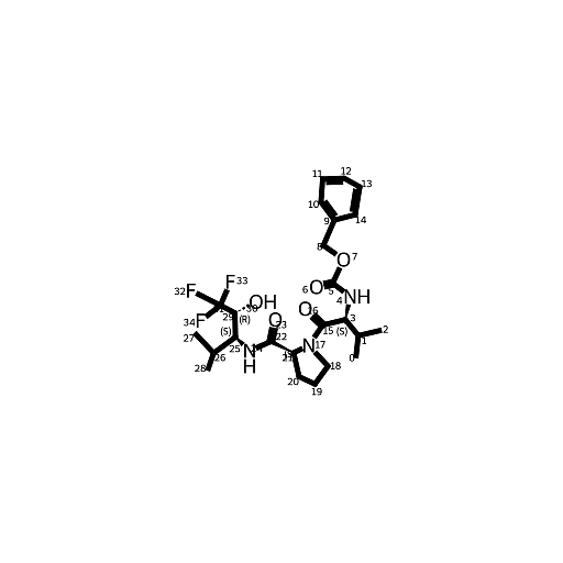 CC(C)[C@H](NC(=O)OCc1ccccc1)C(=O)N1CCC[C@H]1C(=O)N[C@@H](C(C)C)[C@@H](O)C(F)(F)F